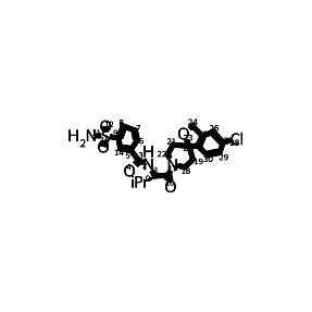 CC(C)[C@@H](NC(=O)c1cccc(S(N)(=O)=O)c1)C(=O)N1CCC2(CC1)OCc1cc(Cl)ccc12